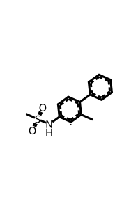 Cc1[c]c(NS(C)(=O)=O)ccc1-c1ccccc1